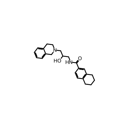 O=C(NCC(O)CN1CCc2ccccc2C1)c1ccc2c(c1)CCCC2